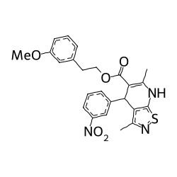 COc1cccc(CCOC(=O)C2=C(C)Nc3snc(C)c3C2c2cccc([N+](=O)[O-])c2)c1